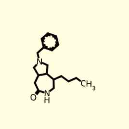 CCCCC1CNC(=O)CC2CN(Cc3ccccc3)CC12